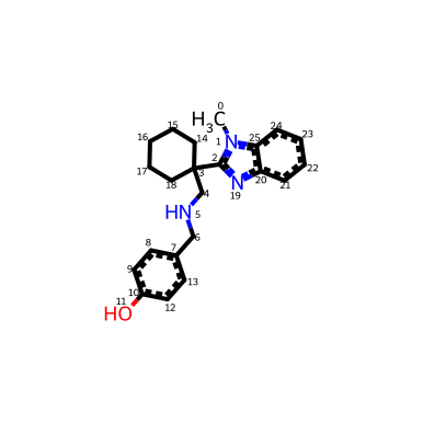 Cn1c(C2(CNCc3ccc(O)cc3)CCCCC2)nc2ccccc21